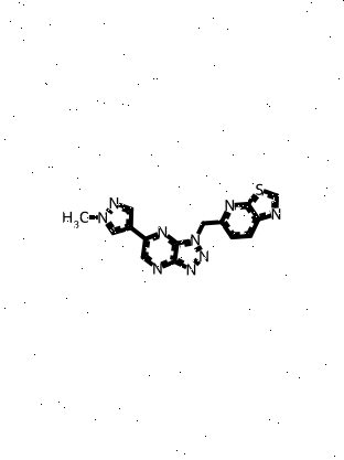 Cn1cc(-c2cnc3nnn(Cc4ccc5ncsc5n4)c3n2)cn1